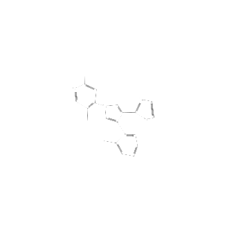 Cc1cnc(F)cc1-n1cc(-c2ncc[nH]2)c(-c2ccccc2Cl)c1